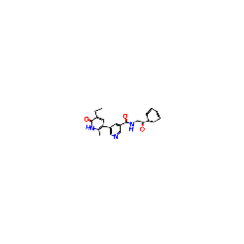 CCc1cc(-c2cncc(C(=O)NCC(=O)c3ccccc3)c2)c(C)[nH]c1=O